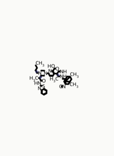 CCC/C=C\N1CCN(c2ccc(/C(C=N)=C(\C)NCC34CC5(C)CC(C)(C3)CC(N=O)(C5)C4)c(C(=O)O)n2)C/C1=C(/C)C(=O)Nc1nc2ccccc2s1